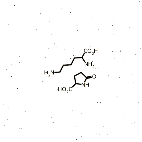 NCCCCC(N)C(=O)O.O=C1CCC(C(=O)O)N1